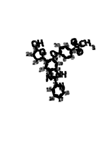 CS(=O)(=O)c1ccc(Oc2cc3[nH]c(-c4ccccn4)nc3cc2C2CCC(O)O2)cc1